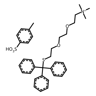 C[N+](C)(C)CCOCCOCCSC(c1ccccc1)(c1ccccc1)c1ccccc1.Cc1ccc(S(=O)(=O)O)cc1